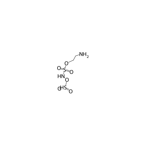 NCCOS(=O)(=O)NO[SH](=O)=O